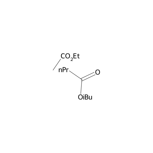 CCCC(=O)OCC(C)C.CCOC(C)=O